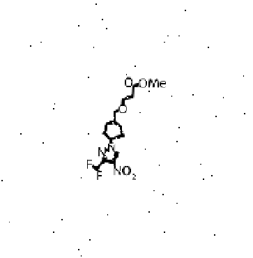 COC(=O)CCOCC1CCC(n2cc([N+](=O)[O-])c(C(F)F)n2)CC1